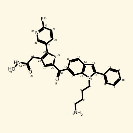 NCCCCn1c(-c2ccccc2)cc2ccc(C(=O)c3cc(CC(=O)NO)c(-c4ccc(F)nc4)s3)cc21